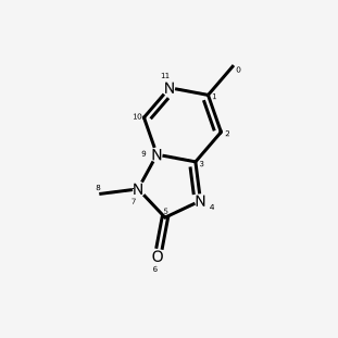 Cc1cc2nc(=O)n(C)n2cn1